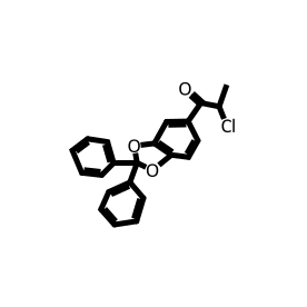 CC(Cl)C(=O)c1ccc2c(c1)OC(c1ccccc1)(c1ccccc1)O2